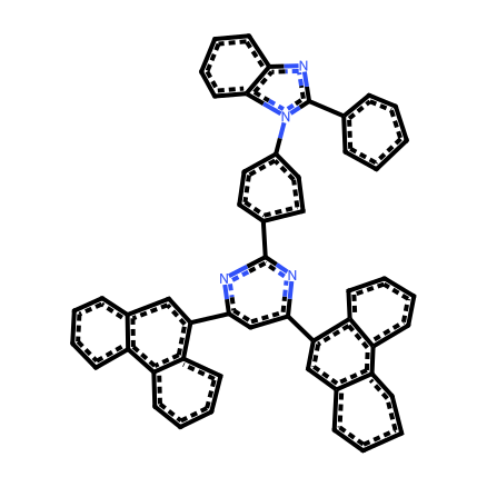 c1ccc(-c2nc3ccccc3n2-c2ccc(-c3nc(-c4cc5ccccc5c5ccccc45)cc(-c4cc5ccccc5c5ccccc45)n3)cc2)cc1